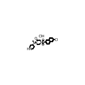 CN(C1CCNCC1)N1CCN(S(=O)(=O)c2ccc3cc(Cl)ccc3c2)CC1=O.Cl